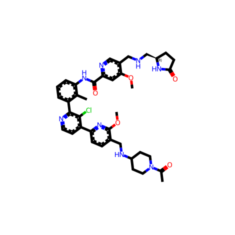 COc1cc(C(=O)Nc2cccc(-c3nccc(-c4ccc(CNC5CCN(C(C)=O)CC5)c(OC)n4)c3Cl)c2C)ncc1CNC[C@H]1CCC(=O)N1